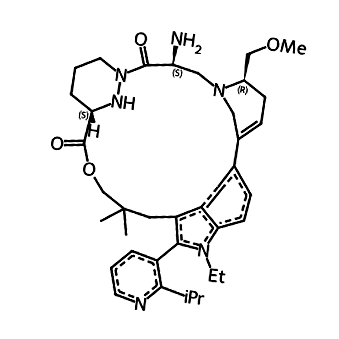 CCn1c(-c2cccnc2C(C)C)c2c3cc(ccc31)C1=CC[C@H](COC)N(C1)C[C@H](N)C(=O)N1CCC[C@H](N1)C(=O)OCC(C)(C)C2